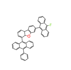 Fc1c2ccccc2c(-c2ccc3c(c2)OC2C(c4c5ccccc5c(-c5ccccc5)c5ccccc45)=CC=CC32)c2ccccc12